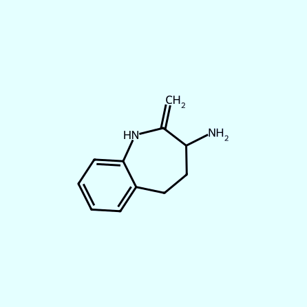 C=C1Nc2ccccc2CCC1N